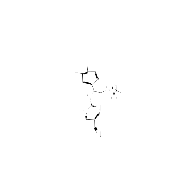 CS(=O)(=O)NCC(Nc1ncc(C#N)cn1)c1ccc(F)c(F)c1